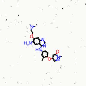 Cc1cc(Nc2ncnc3cc(OCCN(C)C)c(N)cc23)ccc1Oc1cnn(C)c(=O)c1